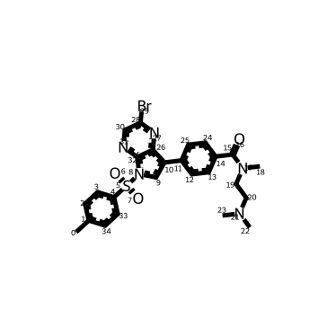 Cc1ccc(S(=O)(=O)n2cc(-c3ccc(C(=O)N(C)CCN(C)C)cc3)c3nc(Br)cnc32)cc1